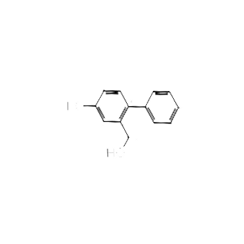 Cc1ccc(-c2ccccc2)c(CO)c1